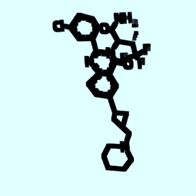 C[C@@H](C(C(N)=O)n1c(-c2cccc(Cl)c2)nc2ccc(C3CC(CN4CCCCC4)C3)cc2c1=O)C(F)(F)F